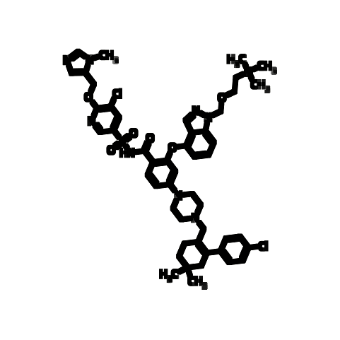 Cn1cncc1COc1ncc(S(=O)(=O)NC(=O)c2ccc(N3CCN(CC4=C(c5ccc(Cl)cc5)CC(C)(C)CC4)CC3)cc2Oc2cccc3c2cnn3COCC[Si](C)(C)C)cc1Cl